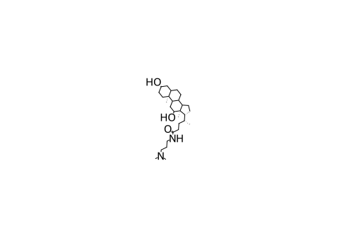 C[C@H](CCC(=O)NCCCN(C)C)[C@H]1CCC2C3CCC4C[C@H](O)CC[C@]4(C)C3C[C@H](O)[C@@]21C